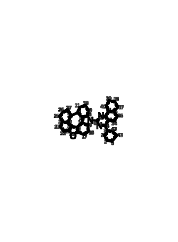 c1ccc(-c2nc(-n3c4cccc5c4c4c6c(ccc43)oc3ccc4cccc-5c4c36)nc3c2ccc2ccccc23)cc1